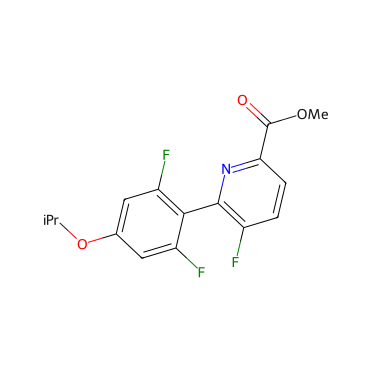 COC(=O)c1ccc(F)c(-c2c(F)cc(OC(C)C)cc2F)n1